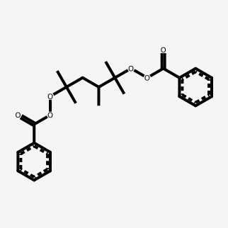 CC(CC(C)(C)OOC(=O)c1ccccc1)C(C)(C)OOC(=O)c1ccccc1